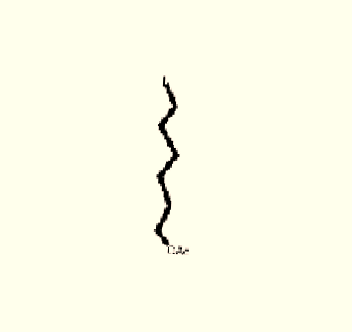 CC(=O)OCCCCCCI